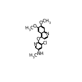 CNc1cnc(Oc2ccnc3cc(OC)c(OC)cc23)c(Cl)c1